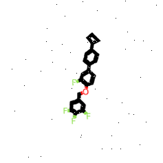 Fc1cc(-c2ccc(C3CCC3)cc2)ccc1OCc1cc(F)c(F)c(F)c1